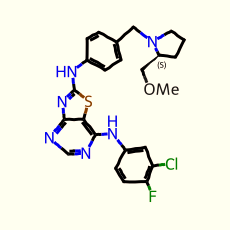 COC[C@@H]1CCCN1Cc1ccc(Nc2nc3ncnc(Nc4ccc(F)c(Cl)c4)c3s2)cc1